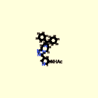 CC(=O)Nc1cncc(-c2nnc3n2CC2CCC3N2C(c2ccccc2)c2ccccc2)c1